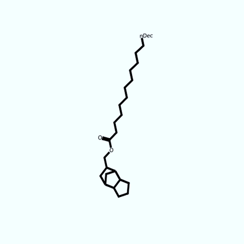 CCCCCCCCCCCCCCCCCCCCCC(=O)OCC1CC2CC1C1CCCC21